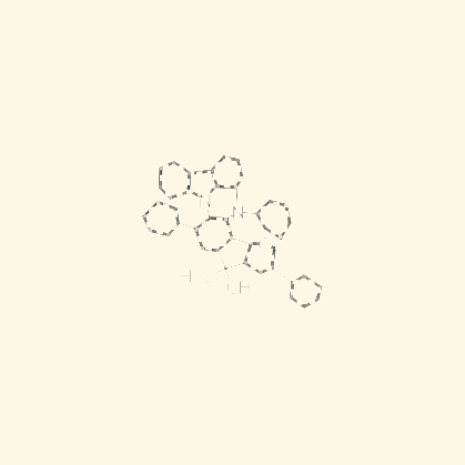 CC1(C)c2cc(-c3ccccc3)ccc2-c2c1cc(-c1ccccc1)c1c2N(c2ccccc2)c2cccc3c4ccccc4n-1c23